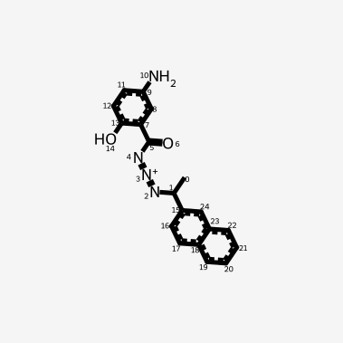 CC(N=[N+]=NC(=O)c1cc(N)ccc1O)c1ccc2ccccc2c1